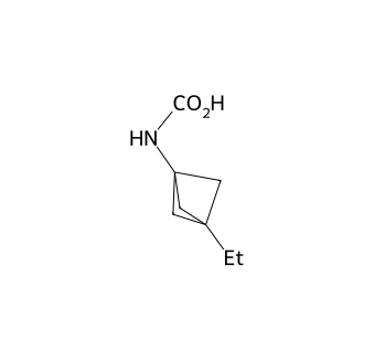 CCC12CC(NC(=O)O)(C1)C2